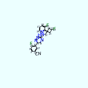 N#Cc1ccc(F)c(-c2cnc(NCC3(c4ncccc4F)CC(F)C3)nn2)c1